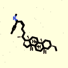 CC#CC(/C=C\CC[C@@H](C)[C@H]1CC[C@H]2[C@@H]3CC[C@@H]4C[C@@H](CC)CC[C@]4(C)[C@H]3CC[C@]12C)=N/C